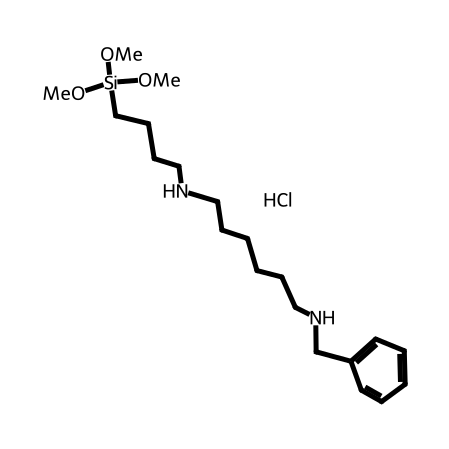 CO[Si](CCCCNCCCCCCNCc1ccccc1)(OC)OC.Cl